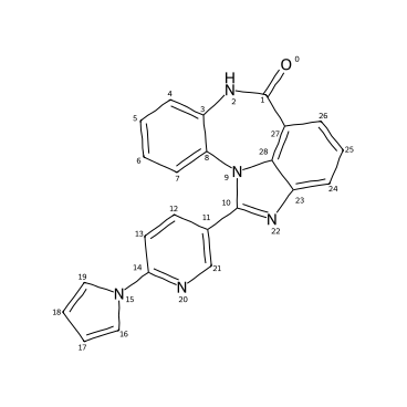 O=C1Nc2ccccc2-n2c(-c3ccc(-n4cccc4)nc3)nc3cccc1c32